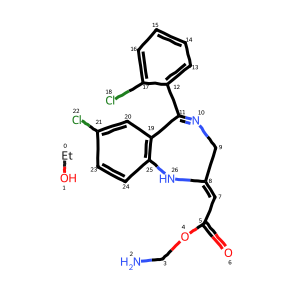 CCO.NCOC(=O)C=C1CN=C(c2ccccc2Cl)c2cc(Cl)ccc2N1